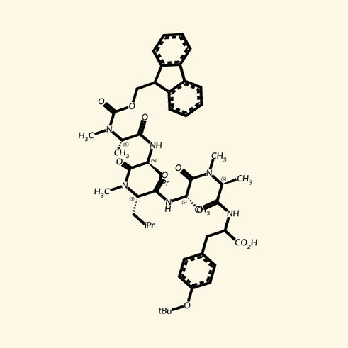 CC(C)C[C@H](NC(=O)[C@H](C)N(C)C(=O)OCC1c2ccccc2-c2ccccc21)C(=O)N(C)[C@@H](CC(C)C)C(=O)N[C@@H](C)C(=O)N(C)[C@@H](C)C(=O)NC(Cc1ccc(OC(C)(C)C)cc1)C(=O)O